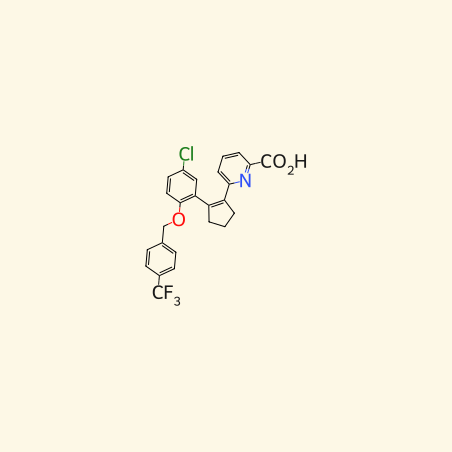 O=C(O)c1cccc(C2=C(c3cc(Cl)ccc3OCc3ccc(C(F)(F)F)cc3)CCC2)n1